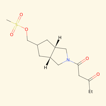 CCC(=O)CC(=O)N1C[C@H]2CC(COS(C)(=O)=O)C[C@H]2C1